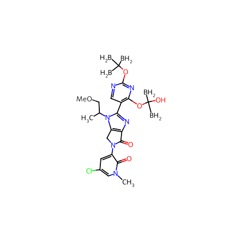 BC(B)(B)Oc1ncc(-c2nc3c(n2C(C)COC)CN(c2cc(Cl)cn(C)c2=O)C3=O)c(OC(B)(B)O)n1